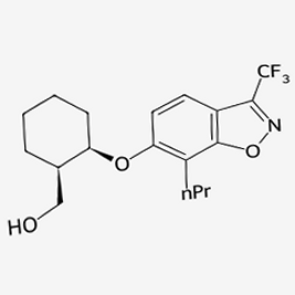 CCCc1c(O[C@@H]2CCCC[C@@H]2CO)ccc2c(C(F)(F)F)noc12